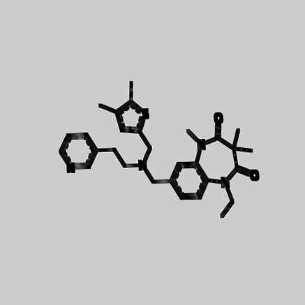 CCN1C(=O)C(C)(C)C(=O)N(C)c2cc(CN(CCc3cccnc3)Cc3cc(C)c(C)s3)ccc21